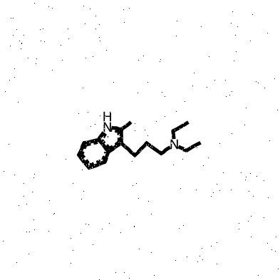 CCN(CC)CCCc1c(C)[nH]c2ccccc12